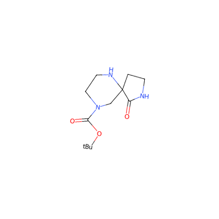 CC(C)(C)OC(=O)N1CCNC2(CCNC2=O)C1